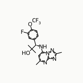 Cc1cc(N[C@H](c2ccc(OC(F)(F)F)c(F)c2)C(C)(C)O)n2nc(C)nc2n1